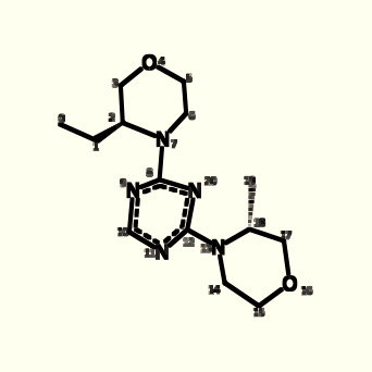 CC[C@H]1COCCN1c1ncnc(N2CCOC[C@H]2C)n1